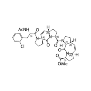 COC(=O)[C@@H]1CC[C@@H]2C=C[C@H]3CCN(C(=O)[C@@H]4CC[C@H]5C=C[C@]6(CCCN6C(=O)[C@H](Cc6ccccc6Cl)NC(C)=O)C(=O)N54)[C@@H]3C(=O)N21